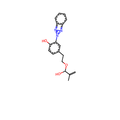 C=C(C)C(O)OCCc1ccc(O)c(-n2n3c4ccccc4n23)c1